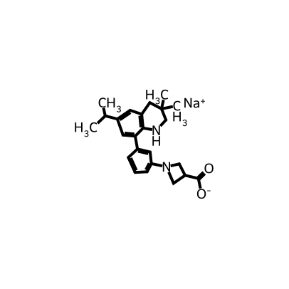 CC(C)c1cc2c(c(-c3cccc(N4CC(C(=O)[O-])C4)c3)c1)NCC(C)(C)C2.[Na+]